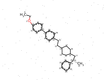 CCOc1ccc(-c2ccc(CCC3CCC(C[C@H](C)c4ccccc4)CC3)cc2)cc1